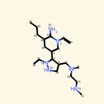 C=CN1CC(C2C(CN(C)CCNC)CNN2CC)CC(CCC)C1N